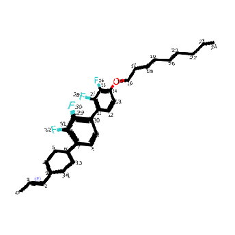 C/C=C/C1CCC(c2ccc(-c3ccc(OCCCCCCCCC)c(F)c3F)c(F)c2F)CC1